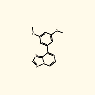 COc1cc(OC)cc(-c2nccn3n[c]nc23)c1